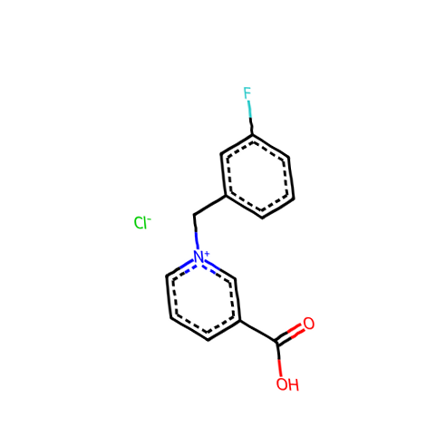 O=C(O)c1ccc[n+](Cc2cccc(F)c2)c1.[Cl-]